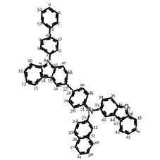 c1ccc(-c2ccc(-n3c4ccccc4c4cc(-c5ccc(N(c6ccc7ccccc7c6)c6ccc7oc8ccccc8c7c6)cc5)ccc43)cc2)cc1